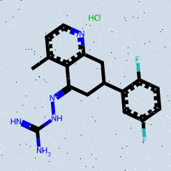 Cc1ccnc2c1C(=NNC(=N)N)CC(c1cc(F)ccc1F)C2.Cl